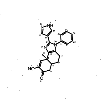 C[C@]12C=C(C#N)C(=O)CC1CCc1c2nc(-c2cn[nH]c2)n1-c1ccccc1